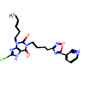 CCCCCn1c(=O)n(CCCCc2noc(-c3cccnc3)n2)c(=O)c2[nH]c(Cl)nc21